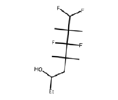 CCC(O)CC(C)(C)C(F)(F)C(C)(C)C(F)F